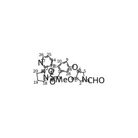 CO[C@H]1CN(C=O)C[C@@H]1Oc1cccc(CS(=O)(=O)N2CCC[C@@H]2c2ccccn2)c1